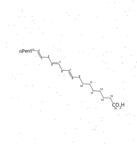 CCCCCC=CCC=CCC=CCCCCCCCC(=O)O